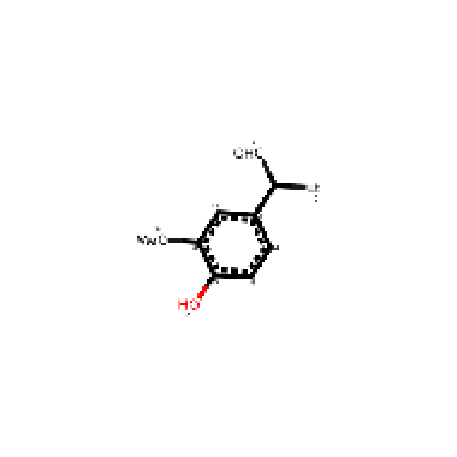 CCC(C=O)c1ccc(O)c(OC)c1